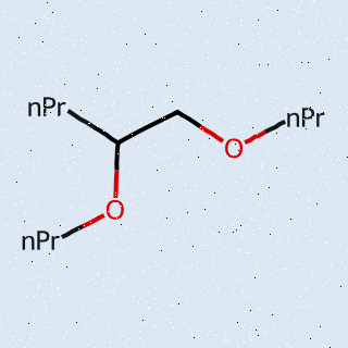 CCCOCC(CCC)OCCC